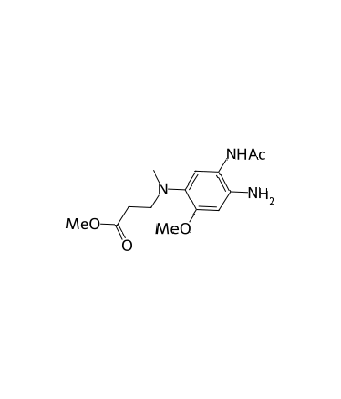 COC(=O)CCN(C)c1cc(NC(C)=O)c(N)cc1OC